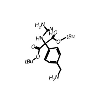 CC(C)(C)OC(=O)C(NC(=N)N)(C(=O)OC(C)(C)C)c1ccc(CN)cc1